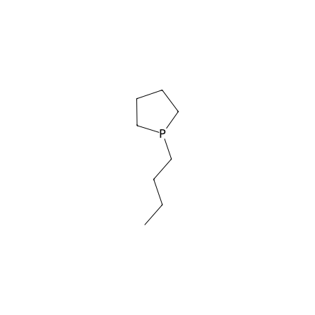 CCCCP1CCCC1